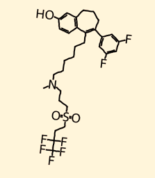 CN(CCCCCCC1=C(c2cc(F)cc(F)c2)CCCc2cc(O)ccc21)CCCS(=O)(=O)CCC(F)(F)C(F)(F)F